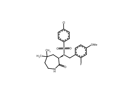 COc1ccc(CN([C@@H]2CC(C)(C)CCNC2=O)S(=O)(=O)c2ccc(Cl)cc2)c(F)c1